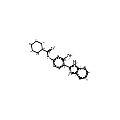 O=C(Oc1ccc(-c2nc3ccccc3[nH]2)c(O)c1)C1CCCCC1